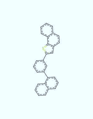 c1cc(-c2cc3ccc4ccccc4c3s2)cc(-c2cccc3ccccc23)c1